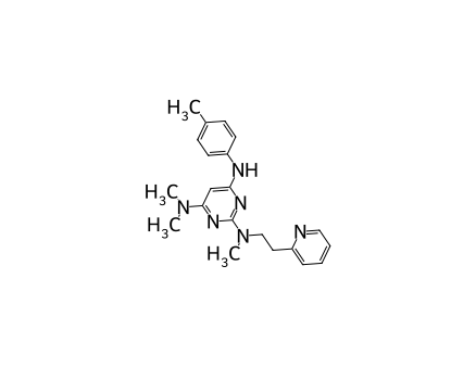 Cc1ccc(Nc2cc(N(C)C)nc(N(C)CCc3ccccn3)n2)cc1